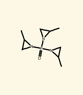 CC1CN1P(=O)(N1CC1C)N1CC1C